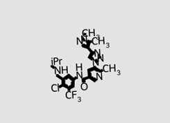 Cc1ncc(C(=O)Nc2cc(CNCC(C)C)c(Cl)c(C(F)(F)F)c2)cc1-n1cc(-c2cnn(C)c2C)nn1